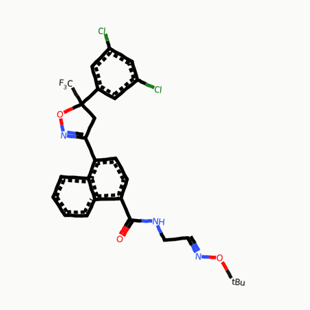 CC(C)(C)O/N=C/CNC(=O)c1ccc(C2=NOC(c3cc(Cl)cc(Cl)c3)(C(F)(F)F)C2)c2ccccc12